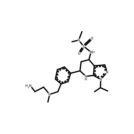 CC(C)n1ncc2c1NC(c1cccc(CN(C)CCN)c1)CC2NS(=O)(=O)N(C)C